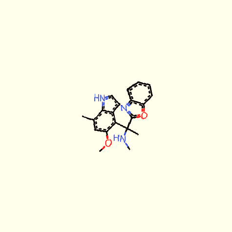 CNC(C)(c1nc2ccccc2o1)c1c(OC)cc(C)c2[nH]ccc12